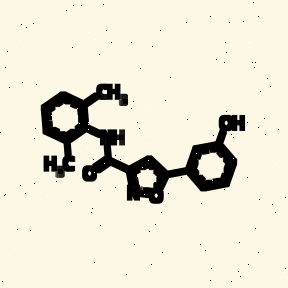 Cc1cccc(C)c1NC(=O)c1cc(-c2cccc(O)c2)on1